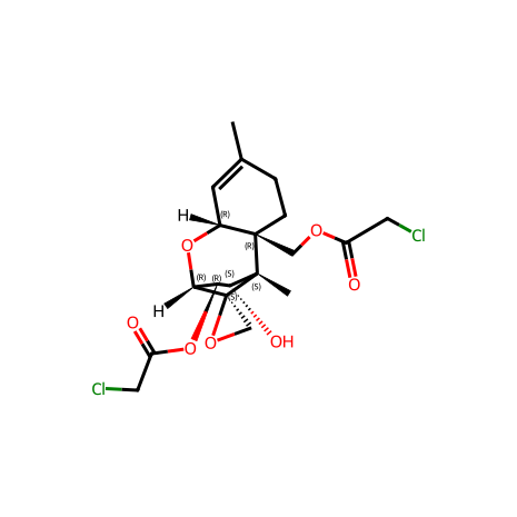 CC1=C[C@H]2O[C@@H]3[C@H](OC(=O)CCl)[C@@H](O)[C@](C)([C@@]2(COC(=O)CCl)CC1)[C@]31CO1